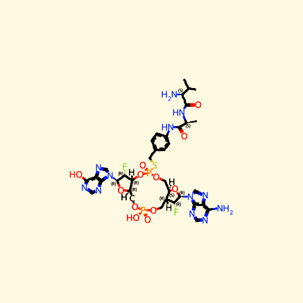 CC(C)[C@H](N)C(=O)N[C@@H](C)C(=O)Nc1ccc(CSP2(=O)OC[C@H]3O[C@@H](n4cnc5c(N)ncnc54)[C@H](F)[C@@H]3COP(=O)(O)OC[C@H]3O[C@@H](n4cnc5c(O)ncnc54)[C@H](F)[C@@H]3O2)cc1